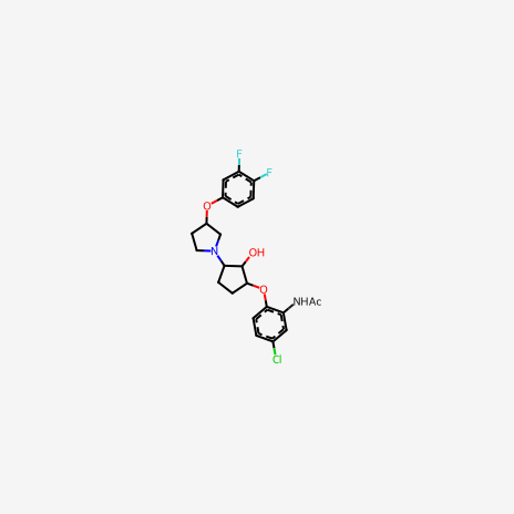 CC(=O)Nc1cc(Cl)ccc1OC1CCC(N2CCC(Oc3ccc(F)c(F)c3)C2)C1O